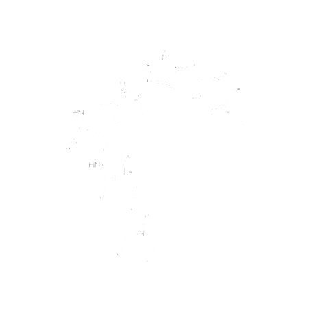 CCN(CC)Cc1ccc2[nH]c(-c3cc(NC(=O)c4cnn(Cc5ccc(C)cc5)c4)c[nH]c3=O)cc2c1